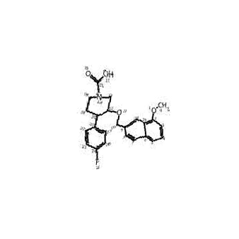 COc1cccc2ccc(COC3CN(C(=O)O)CCC3c3ccc(F)cc3)cc12